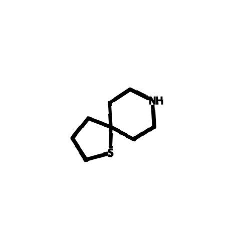 C1CSC2(C1)CCNCC2